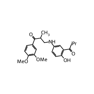 COc1ccc(C(=O)C(C)CNc2ccc(O)c(C(=O)C(C)C)c2)cc1OC